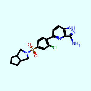 Nc1n[nH]c2ccc(-c3ccc(S(=O)(=O)N4CC5CCCC5C4)cc3Cl)nc12